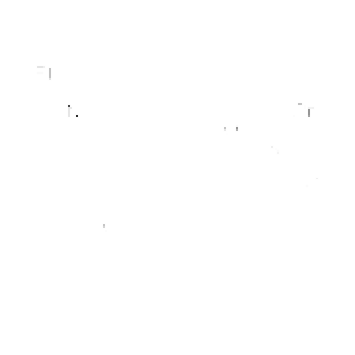 CCN1CC(Oc2cccc(S(=O)(=O)C(C)C)c2)C1